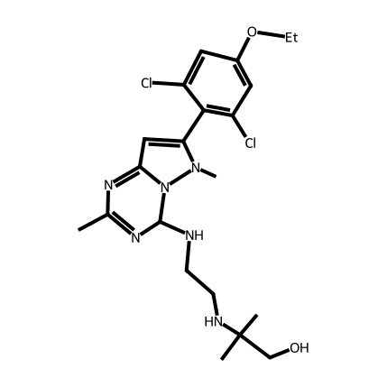 CCOc1cc(Cl)c(C2=CC3=NC(C)=NC(NCCNC(C)(C)CO)N3N2C)c(Cl)c1